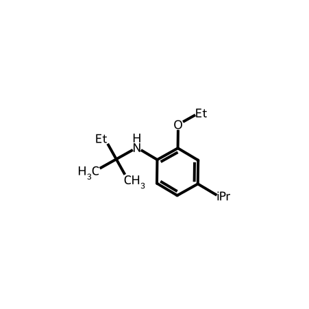 CCOc1cc(C(C)C)ccc1NC(C)(C)CC